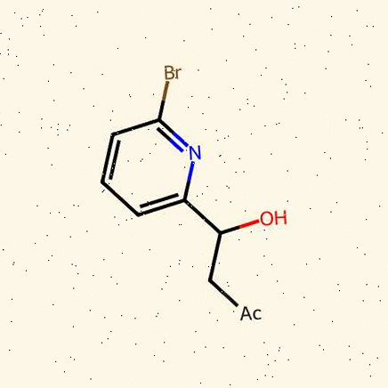 CC(=O)CC(O)c1cccc(Br)n1